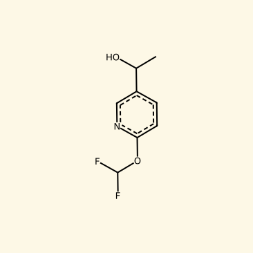 CC(O)c1ccc(OC(F)F)nc1